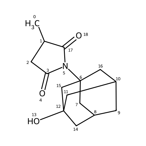 CC1CC(=O)N(C23CC4CC(CC(O)(C4)C2)C3)C1=O